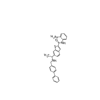 CC(NCc1ccc(-c2ccccc2)cc1)c1ccc2cc(C(=O)Nc3ccccc3[AsH2])sc2c1